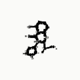 C[C@H](N)c1nc2cccc(Cl)c2c(=O)n1-c1cn[nH]c1